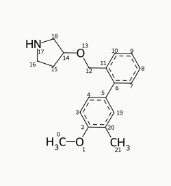 COc1ccc(-c2ccccc2COC2CCNC2)cc1C